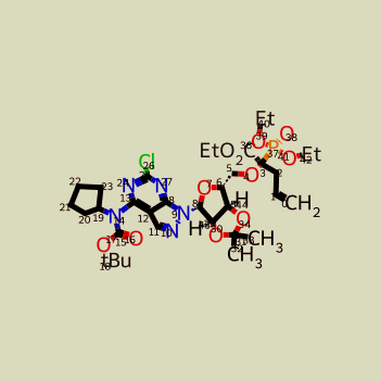 C=CCC(OC[C@H]1O[C@@H](n2ncc3c(N(C(=O)OC(C)(C)C)C4CCCC4)nc(Cl)nc32)[C@@H]2OC(C)(C)O[C@@H]21)(C(=O)OCC)P(=O)(OCC)OCC